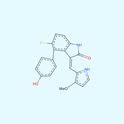 COc1cc[nH]c1/C=C1\C(=O)Nc2ccc(F)c(-c3ccc(O)cc3)c21